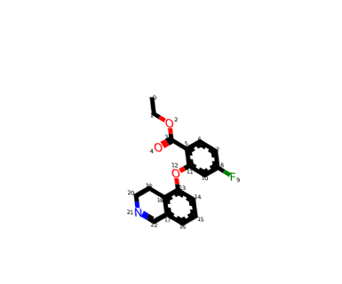 CCOC(=O)c1ccc(F)cc1Oc1cccc2c1CCN=C2